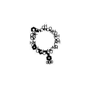 CS(=O)(=O)c1ccc(CCC2NC(=O)CNC(=O)CNC(=O)CNC(=O)CNC(=O)CNC(=O)CNC(=O)CC(C(=O)N3CCCCC3)NC(=O)CNC(=O)C3(CCCC3)NC(=O)C3CCCN3C2=O)cc1